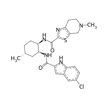 C[C@@H]1CC[C@@H](NC(=O)c2nc3c(s2)CN(C)CC3)[C@@H](NC(=O)c2cc3cc(Cl)ccc3[nH]2)C1